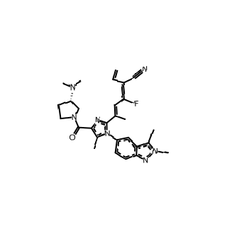 C=C/C(C#N)=C(F)\C=C(/C)c1nc(C(=O)N2CC[C@H](N(C)C)C2)c(C)n1-c1ccc2nn(C)c(C)c2c1